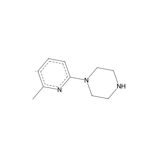 Cc1[c]ccc(N2CCNCC2)n1